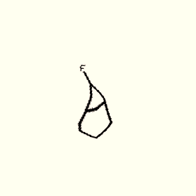 F[C]1C2CCCC12